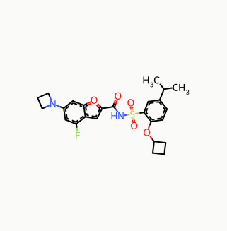 CC(C)c1ccc(OC2CCC2)c(S(=O)(=O)NC(=O)c2cc3c(F)cc(N4CCC4)cc3o2)c1